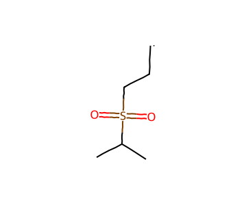 [CH2]CCS(=O)(=O)C(C)C